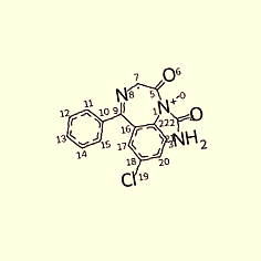 C[N+]1(C(N)=O)C(=O)[CH]N=C(c2ccccc2)c2cc(Cl)ccc21